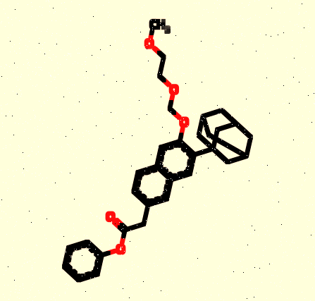 COCCOCOc1cc2ccc(CC(=O)Oc3ccccc3)cc2cc1C12CC3CC(CC(C3)C1)C2